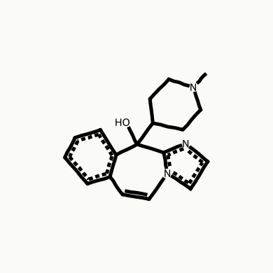 CN1CCC(C2(O)c3ccccc3C=Cn3ccnc32)CC1